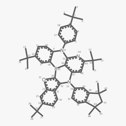 CC(C)(C)c1ccc(N2c3ccc(C(C)(C)C)cc3B3c4oc5cc(C(C)(C)C)ccc5c4N(c4ccc5c(c4)C(C)(C)CC5(C)C)c4cc(C(C)(C)C)nc2c43)cc1